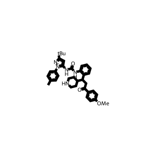 COc1ccc(C(=O)CC(c2ccccc2NC(=O)Nc2cc(C(C)(C)C)nn2-c2ccc(C)cc2)C2CCNCC2)cc1